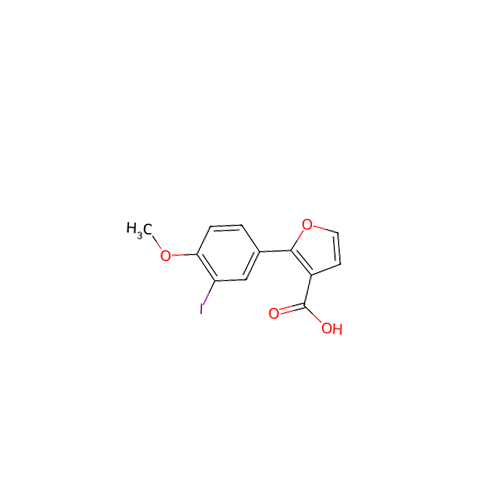 COc1ccc(-c2occc2C(=O)O)cc1I